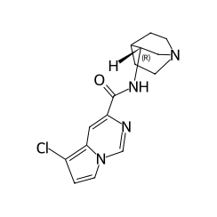 O=C(N[C@H]1CN2CCC1CC2)c1cc2c(Cl)ccn2cn1